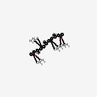 CCCCCCCCC1(CCCCCCCC)c2ccccc2-c2ccc(-c3ccc(-c4ccc5c(c4)C(CCCCCCCC)(CCCCCCCC)c4cc(-c6ccc(-c7ccc8c(c7)C(CCCCCCCC)(CCCCCCCC)c7cc(-c9ccc(-c%10ccc%11c(c%10)C(CCCCCCCC)(CCCCCCCC)c%10ccccc%10-%11)c%10nsnc9%10)ccc7-8)c7nsnc67)ccc4-5)c4nsnc34)cc21